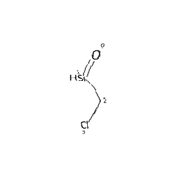 O=[SiH]CCl